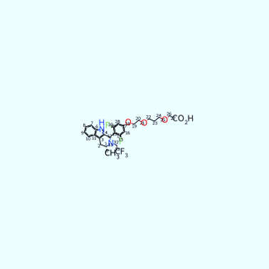 C[C@@H]1Cc2c([nH]c3ccccc23)[C@@H](c2c(F)cc(OCCOCCCOCC(=O)O)cc2F)N1CC(F)(F)F